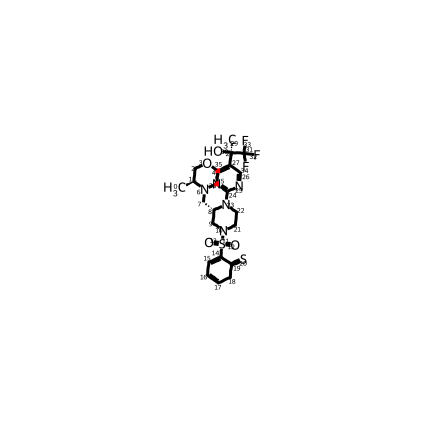 C[C@H]1COCCN1C[C@H]1CN(S(=O)(=O)C2=CC=CCC2=S)CCN1c1ncc([C@@](C)(O)C(F)(F)F)cn1